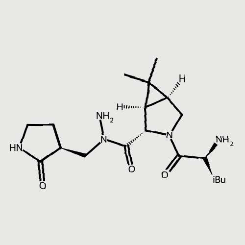 CC[C@H](C)[C@H](N)C(=O)N1C[C@H]2[C@@H]([C@H]1C(=O)N(N)C[C@@H]1CCNC1=O)C2(C)C